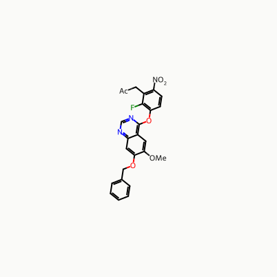 COc1cc2c(Oc3ccc([N+](=O)[O-])c(CC(C)=O)c3F)ncnc2cc1OCc1ccccc1